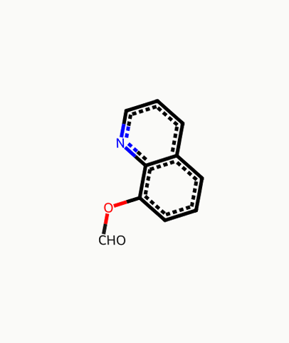 O=COc1cccc2cccnc12